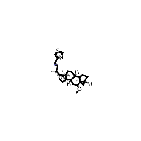 COC1C[C@H]2[C@@H]3CC[C@H]([C@H](C)/C=C/c4cscn4)[C@@]3(C)CC[C@@H]2[C@@]2(C)CC[C@@H]3CC132